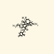 COC(=O)Oc1c2n(cc(C(=O)NCc3ccc(F)cc3F)c1=O)[C@@H]1CN(C2=O)[C@@H](C)CC[C@]12CC(C)=NO2